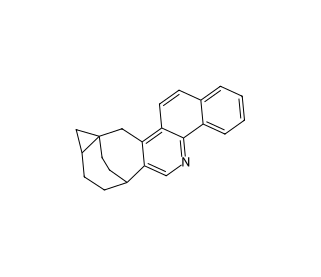 c1ccc2c(c1)ccc1c3c(cnc12)C1CCC2CC2(CC1)C3